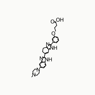 CN1CCN(c2ccc3[nH]c(C4=Cc5[nH]c(-c6cccc(OCCCC(=O)O)c6)nc5CC4)nc3c2)CC1